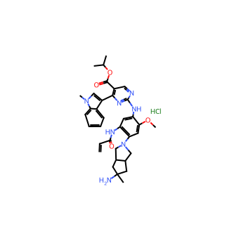 C=CC(=O)Nc1cc(Nc2ncc(C(=O)OC(C)C)c(-c3cn(C)c4ccccc34)n2)c(OC)cc1N1CC2CC(C)(N)CC2C1.Cl